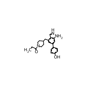 C=CC(=O)N1CCC(Cc2cc(-c3ccc(O)cc3)cc(N)c2C=N)CC1